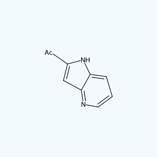 CC(=O)c1cc2ncccc2[nH]1